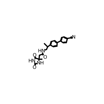 CC(CNC(=O)CC1(C)NC(=O)NC1=O)c1ccc(-c2ccc(C#N)cc2)cc1